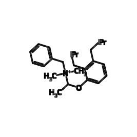 CC(C)Cc1cccc(OC(C)[N+](C)(C)Cc2ccccc2)c1CC(C)C